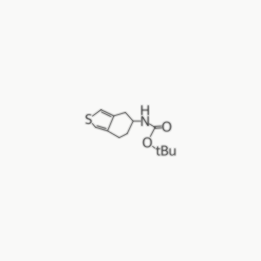 CC(C)(C)OC(=O)NC1CCc2cscc2C1